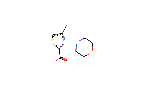 C1COCCN1.Cc1csc(C(=O)O)n1